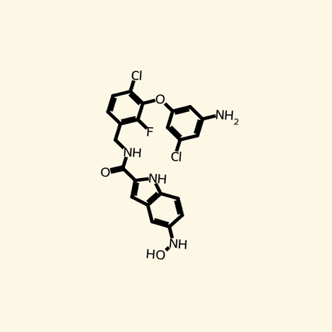 Nc1cc(Cl)cc(Oc2c(Cl)ccc(CNC(=O)c3cc4cc(NO)ccc4[nH]3)c2F)c1